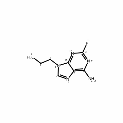 CCCn1cnc2c(N)nc(F)nc21